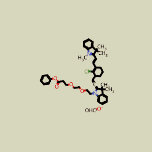 C[N+]1=C(/C=C/C2=C(Cl)C(C=C=C3N(CCOCCOCCC(=O)Oc4ccccc4)c4ccccc4C3(C)C)CCC2)C(C)(C)c2ccccc21.O=C[O-]